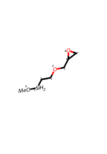 CO[SiH2]CCOCC1CO1